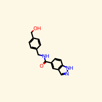 O=C(NCc1ccc(CO)cc1)c1ccc2[nH]ncc2c1